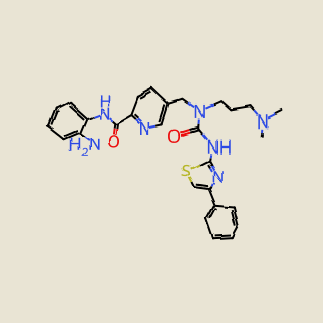 CN(C)CCCN(Cc1ccc(C(=O)Nc2ccccc2N)nc1)C(=O)Nc1nc(-c2ccccc2)cs1